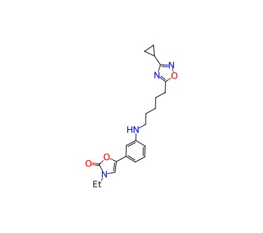 CCn1cc(-c2cccc(NCCCCCc3nc(C4CC4)no3)c2)oc1=O